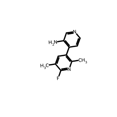 Cc1cc(-c2ccncc2N)c(C)nc1F